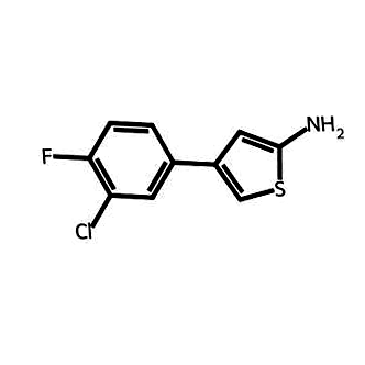 Nc1cc(-c2ccc(F)c(Cl)c2)cs1